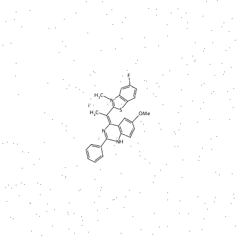 COc1ccc2c(c1)C(=C(C)c1sc3ccc(F)cc3[n+]1C)N=C(c1ccccc1)N2.[I-]